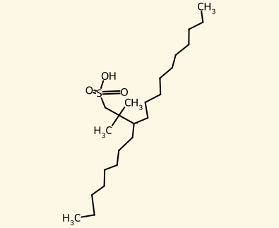 CCCCCCCCCC[C](CCCCCCCC)C(C)(C)CS(=O)(=O)O